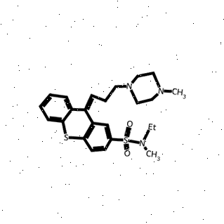 CCN(C)S(=O)(=O)c1ccc2c(c1)/C(=C\CCN1CCN(C)CC1)c1ccccc1S2